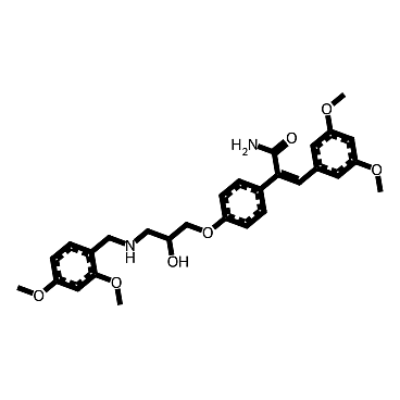 COc1cc(/C=C(\C(N)=O)c2ccc(OCC(O)CNCc3ccc(OC)cc3OC)cc2)cc(OC)c1